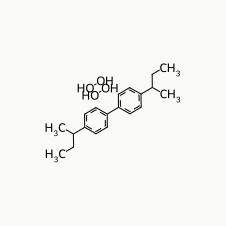 CCC(C)c1ccc(-c2ccc(C(C)CC)cc2)cc1.OO.OO